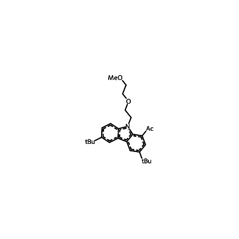 COCCOCCn1c2ccc(C(C)(C)C)cc2c2cc(C(C)(C)C)cc(C(C)=O)c21